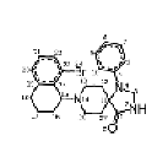 O=C1NCN(c2ccccc2)C12CCN(C1CCCc3cccc(Br)c31)CC2